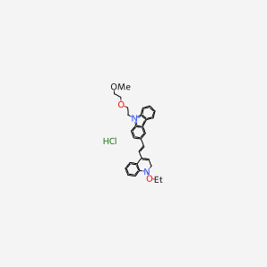 CCON1CC=C(C=Cc2ccc3c(c2)c2ccccc2n3CCOCCOC)c2ccccc21.Cl